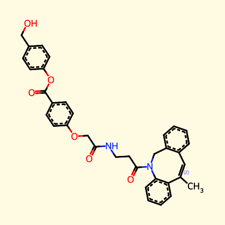 C/C1=C/c2ccccc2CN(C(=O)CCNC(=O)COc2ccc(C(=O)Oc3ccc(CO)cc3)cc2)c2ccccc21